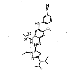 CC[n+]1nc(N(C(C)C)C(C)C)sc1N=Nc1cc(OC)c(Nc2cccc(C#N)c2)cc1NS(C)(=O)=O